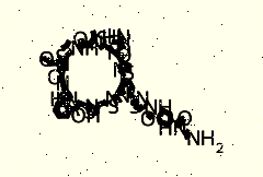 CNC(=O)C[C@@H]1NC(=O)c2csc(n2)-c2ccc(-c3nc(NC(=O)[C@H]4CC[C@H](C(=O)NCCN)CC4)cs3)nc2-c2csc(n2)-c2csc(n2)[C@H]([C@@H](O)c2ccccc2)NC(=O)CNC(=O)c2nc(sc2COC)[C@H](C(C)C)NC(=O)c2nc1sc2C